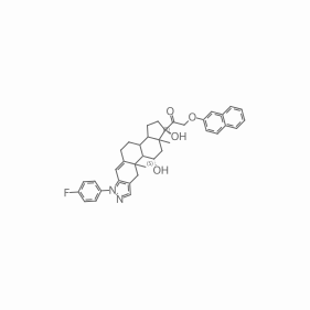 CC12Cc3cnn(-c4ccc(F)cc4)c3C=C1CCC1C2[C@@H](O)CC2(C)C1CC[C@]2(O)C(=O)COc1ccc2ccccc2c1